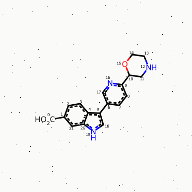 O=C(O)c1ccc2c(-c3ccc(C4CNCCO4)nc3)c[nH]c2c1